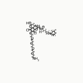 Cc1ccnc(NCCCCC(=O)NCC(=O)NC(CC(=O)O)c2cc(Cl)c(OCCOCCOCCOCCOCCN)c(Cl)c2)c1